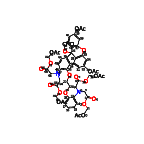 CC(=O)OCOC(=O)CN(CC(=O)OCOC(C)=O)c1ccccc1OCCOc1cc(C2(OC=O)c3ccc(OC(C)=O)cc3Oc3cc(OC(C)=O)ccc32)ccc1N(CC(=O)OCOC(C)=O)CC(=O)OCOC(C)=O